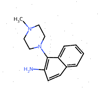 CN1CCN(c2c(N)ccc3ccccc23)CC1